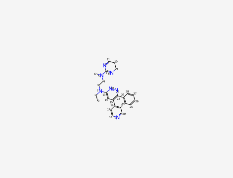 CCN(CCN(C)C1=NCCC=N1)c1cc(-c2ccncc2)c(-c2ccccc2)nn1